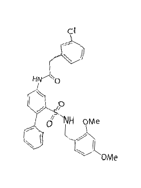 COc1ccc(CNS(=O)(=O)c2cc(NC(=O)Cc3cccc(Cl)c3)ccc2-c2ccccc2)c(OC)c1